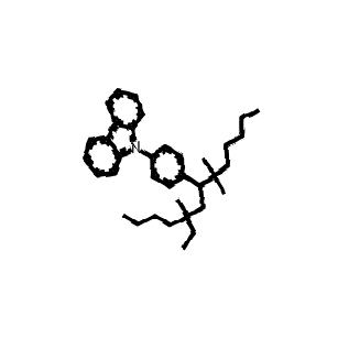 CCCCCC(C)(C)C(CC(C)(CC)CCCC)c1ccc(-n2c3ccccc3c3ccccc32)cc1